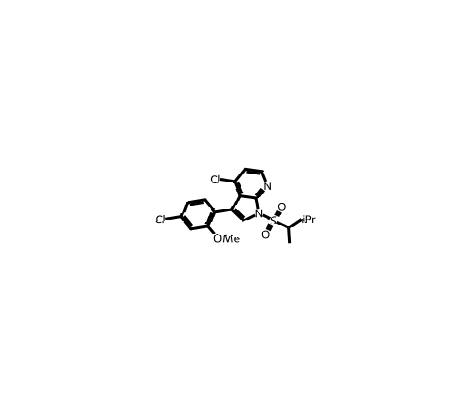 COc1cc(Cl)ccc1-c1cn(S(=O)(=O)C(C)C(C)C)c2nccc(Cl)c12